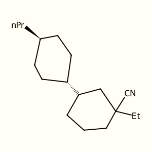 CCC[C@H]1CC[C@H](C2CCCC(C#N)(CC)C2)CC1